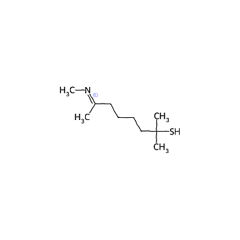 C/N=C(\C)CCCCC(C)(C)S